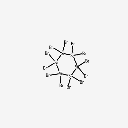 Br[Si]1(Br)[Si](Br)(Br)[Si](Br)(Br)[Si](Br)(Br)[Si](Br)(Br)[Si]1(Br)Br